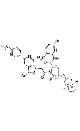 CC(=O)c1nn(CC(=O)N2[C@H]3C[C@@]3(CN3C[C@H]4CCC[C@H]4C3)C[C@H]2C(=O)Nc2nc(Br)ccc2C)c2cnc(-c3cnc(C)nc3)cc12